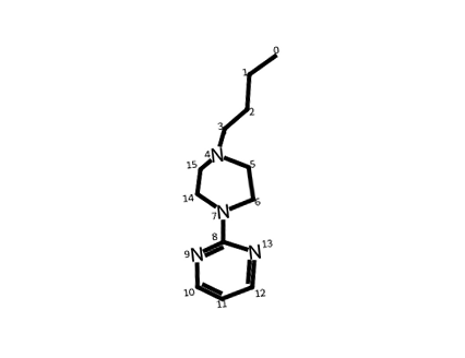 CCC[CH]N1CCN(c2ncccn2)CC1